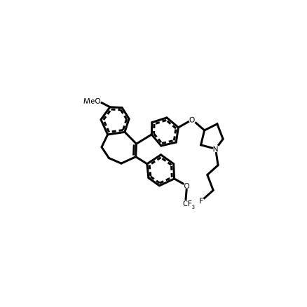 COc1ccc2c(c1)CCCC(c1ccc(OC(F)(F)F)cc1)=C2c1ccc(OC2CCN(CCCF)C2)cc1